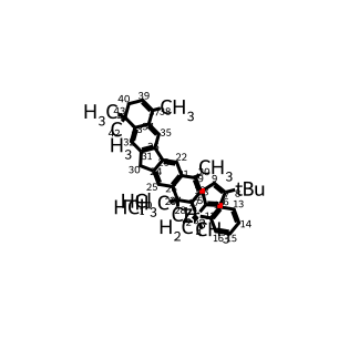 Cl.Cl.[CH2]=[Zr]([CH3])([C]1=CC(C(C)(C)C)=CC1)([c]1ccccc1)[CH]1C=C(C)c2cc3c(cc2C1(C)C)Cc1cc2c(cc1-3)C(C)=CCC2(C)C